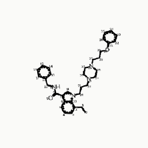 CCc1cccc2c(C(=O)NCc3ccccc3)cn(CCCN3CCN(CCCOc4ccccc4)CC3)c12